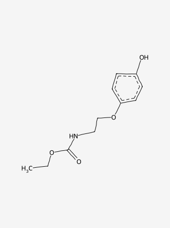 CCOC(=O)NCCOc1ccc(O)cc1